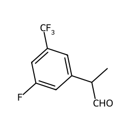 CC(C=O)c1cc(F)cc(C(F)(F)F)c1